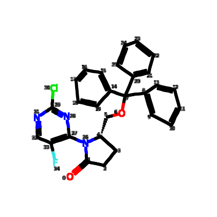 O=C1CC[C@@H](COC(c2ccccc2)(c2ccccc2)c2ccccc2)N1c1nc(Cl)ncc1F